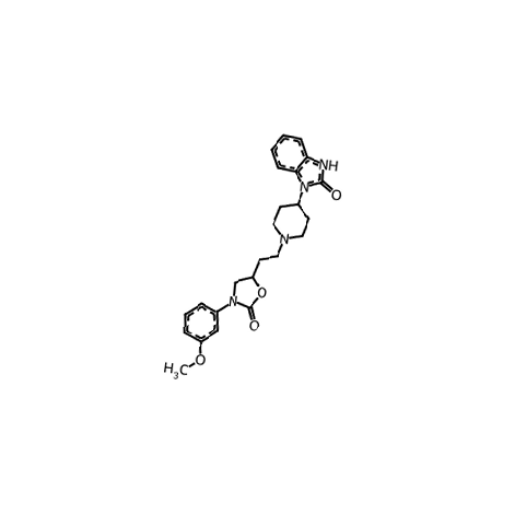 COc1cccc(N2CC(CCN3CCC(n4c(=O)[nH]c5ccccc54)CC3)OC2=O)c1